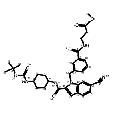 COC(=O)CCNC(=O)c1cccc(Cn2c(C(=O)NC3CCC(NC(=O)OC(C)(C)C)CC3)cc3ccc(C#N)cc32)c1